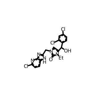 CCn1c(C(O)c2ccc(Cl)cc2Cl)cn(Cc2nc3nc(Cl)ccc3[nH]2)c1=O